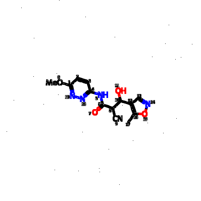 COc1ccc(NC(=O)C(C#N)C(O)c2cnoc2C)nn1